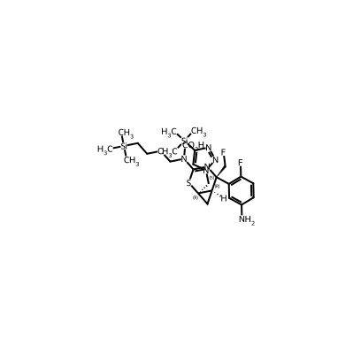 C[Si](C)(C)CCOCN(C(=O)O)C1=N[C@](CF)(c2cc(N)ccc2F)[C@H]2C[C@@]2(Cn2cc([Si](C)(C)C)nn2)S1